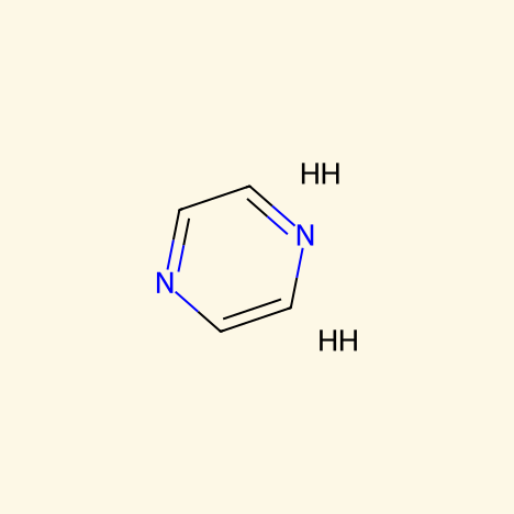 [HH].[HH].c1cnccn1